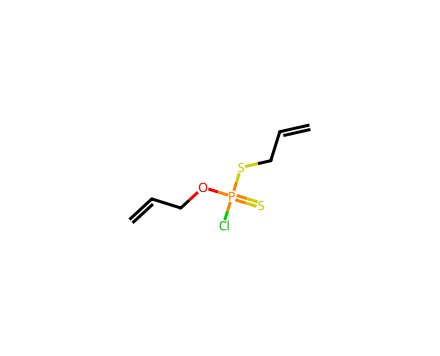 C=CCOP(=S)(Cl)SCC=C